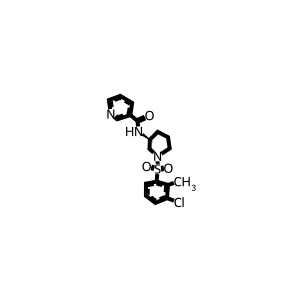 Cc1c(Cl)cccc1S(=O)(=O)N1CCC[C@H](NC(=O)c2cccnc2)C1